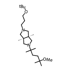 COC(C)(C)CCC(C)(C)N1C[C@]2(C)CN(CCCOC(C)(C)C)C[C@]2(C)C1